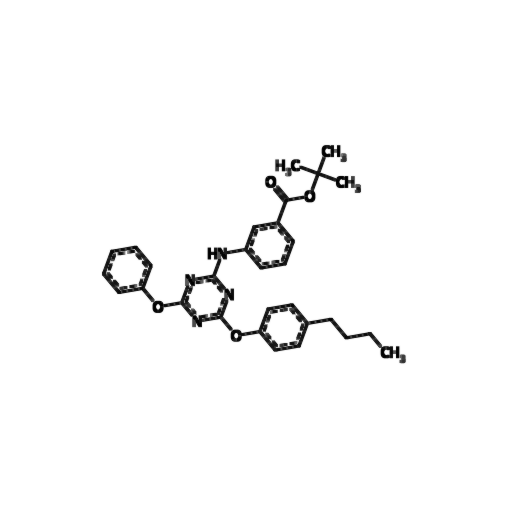 CCCCc1ccc(Oc2nc(Nc3cccc(C(=O)OC(C)(C)C)c3)nc(Oc3ccccc3)n2)cc1